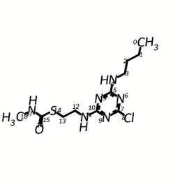 CCCCNc1nc(Cl)nc(NCCSC(=O)NC)n1